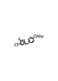 COc1ccc(Cn2cc(Cl)c(I)n2)cc1